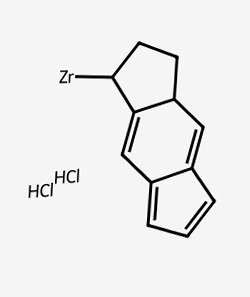 Cl.Cl.[Zr][CH]1CCC2C=C3C=CC=C3C=C12